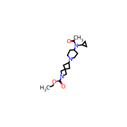 CCOC(=O)N1CC2(CC(N3CCC(N(C(C)=O)C4CC4)CC3)C2)C1